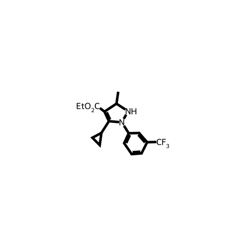 CCOC(=O)C1=C(C2CC2)N(c2cccc(C(F)(F)F)c2)NC1C